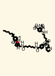 CCCCCCC(C)(C)c1cc(OC)c([C@H]2C=C(CNC(=O)CCCCCCNC(=O)c3ccc(S(=O)(=O)N(Cc4ccccn4)C(=O)CCCCCNc4ccc([N+](=O)[O-])c5nonc45)cc3)[C@H]3C[C@@H]2C3(C)C)c(OC)c1